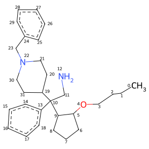 CCCCOC1CCCC1C(CN)(c1ccccc1)C1CCN(Cc2ccccc2)CC1